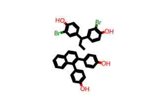 CCC(c1ccc(O)c(Br)c1)c1ccc(O)c(Br)c1.Oc1ccc(-c2ccc3ccccc3c2-c2ccc(O)cc2)cc1